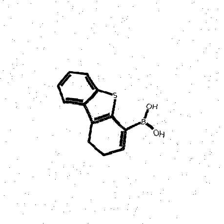 OB(O)C1=CCCc2c1sc1ccccc21